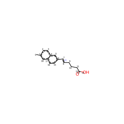 Cc1ccc2cc(/C=C/CCCC(=O)O)ccc2c1